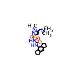 CCn1nc(S(=O)(=O)NC(=O)Nc2c3c(cc4c2CCC4)CCC3)cc1CN(C)C